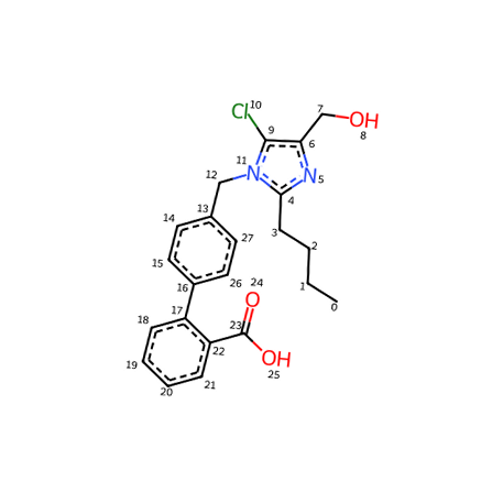 CCCCc1nc(CO)c(Cl)n1Cc1ccc(-c2ccccc2C(=O)O)cc1